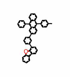 Cc1ccc(-c2c3ccccc3c(-c3ccccc3)c3cc(-c4cccc(-c5cccc6c5oc5ccccc56)c4)ccc23)cc1